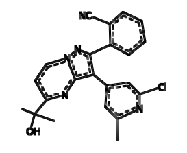 Cc1cc(-c2c(-c3ccccc3C#N)nn3ccc(C(C)(C)O)nc23)cc(Cl)n1